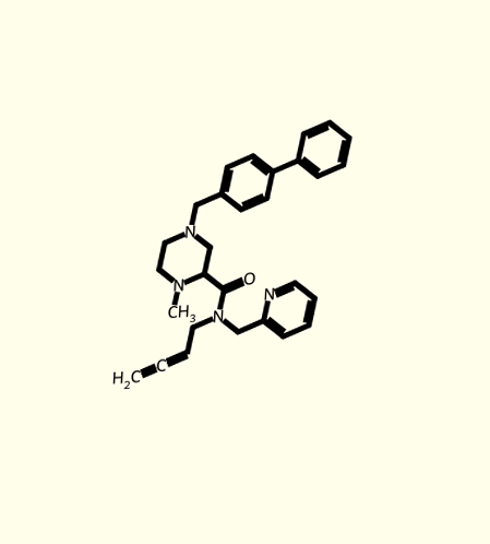 C=C=CCN(Cc1ccccn1)C(=O)C1CN(Cc2ccc(-c3ccccc3)cc2)CCN1C